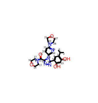 CC(C)c1cc(-c2nnc(C(=O)N3CCOCC3)n2-c2ccc(N3CCOCC3)nc2)c(O)cc1O